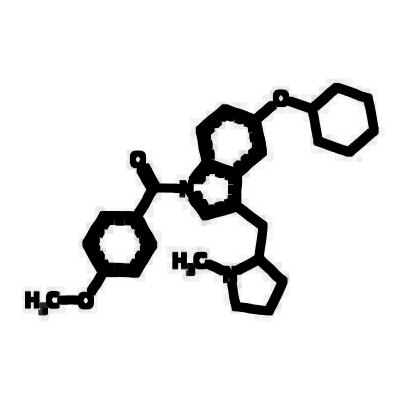 COc1ccc(C(=O)n2cc(CC3CCCN3C)c3cc(OC4CCCCC4)ccc32)cc1